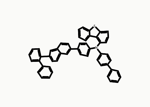 c1ccc(-c2ccc(N(c3ccc(-c4ccc5cc(-c6ccccc6-c6ccccc6)ccc5c4)cc3)c3cccc4sc5ccccc5c34)cc2)cc1